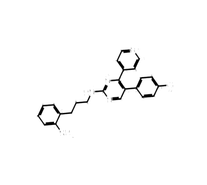 Nc1ccccc1CCCNc1ncc(-c2ccc(Cl)cc2)c(-c2ccncc2)n1